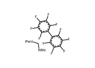 CCCC(C)CNC.Fc1c(F)c(F)c(-c2c(F)c(F)c(F)c(F)c2F)c(F)c1F